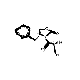 CCC[C@H](C(=O)N1C(=O)OC[C@@H]1Cc1ccccc1)C(C)C